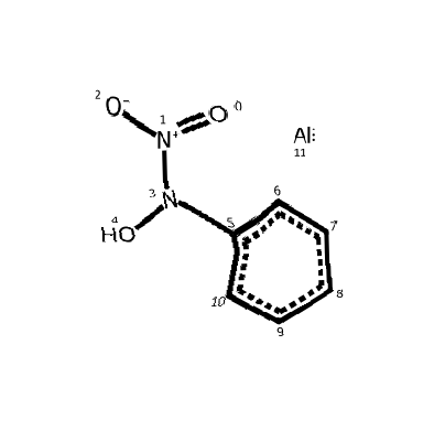 O=[N+]([O-])N(O)c1ccccc1.[Al]